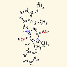 C=Cc1cccc(C#N)c1C(C)=C1NC(=O)C(C)(Cc2ccccc2)N(C)C1=O